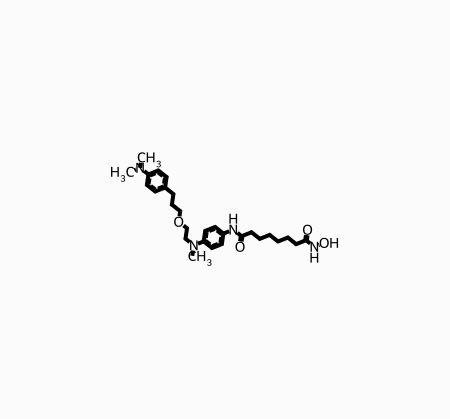 CN(C)c1ccc(CCCOCCN(C)c2ccc(NC(=O)CCCCCCC(=O)NO)cc2)cc1